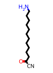 N#CC(=O)CCCCCCCCCCCN